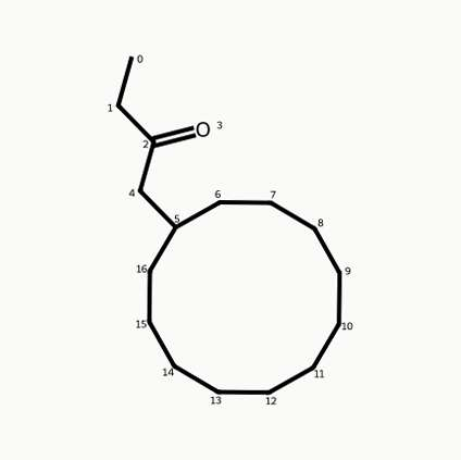 CCC(=O)CC1CCCCCCCCCCC1